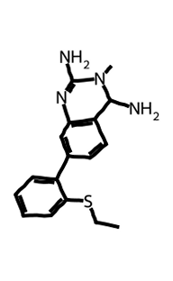 CCSc1ccccc1-c1ccc2c(c1)N=C(N)N(C)C2N